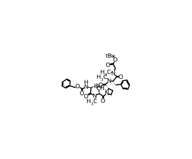 CC[C@H](C)[C@H](NC(=O)OCc1ccccc1)C(=O)N(C)[C@@H](C)C(=O)N1CC[C@H]1C(=O)N(C)[C@@H](Cc1ccccc1)C(=O)N(C)CC(=O)OC(C)(C)C